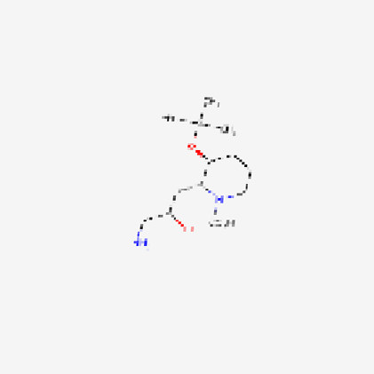 CC(C)(C)[Si](C)(C)O[C@H]1CCCN(C(=O)O)[C@@H]1CC(O)CN